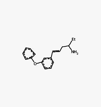 CCC(N)CC=Cc1cccc(Oc2ccccc2)c1